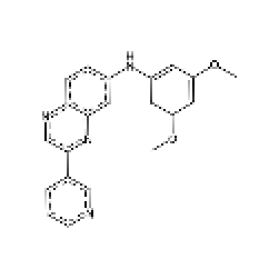 COC1=CC(OC)CC(Nc2ccc3ncc(-c4cccnc4)nc3c2)=C1